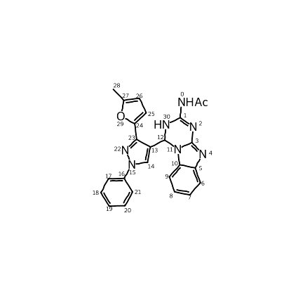 CC(=O)NC1=Nc2nc3ccccc3n2C(c2cn(-c3ccccc3)nc2-c2ccc(C)o2)N1